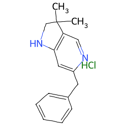 CC1(C)CNc2cc(Cc3ccccc3)ncc21.Cl